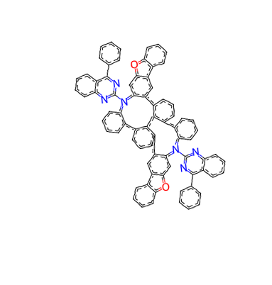 c1ccc(-c2nc(-n3c4ccccc4c4cccc5c6cc7c(cc6n(-c6nc(-c8ccccc8)c8ccccc8n6)c6ccccc6c6cccc(c8cc9c(cc83)oc3ccccc39)c6c45)oc3ccccc37)nc3ccccc23)cc1